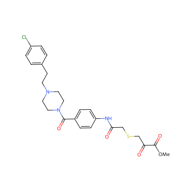 COC(=O)C(=O)CSCC(=O)Nc1ccc(C(=O)N2CCN(CCc3ccc(Cl)cc3)CC2)cc1